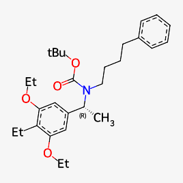 CCOc1cc([C@@H](C)N(CCCCc2ccccc2)C(=O)OC(C)(C)C)cc(OCC)c1CC